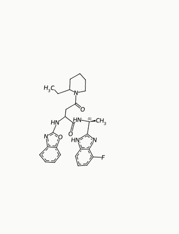 CCC1CCCCN1C(=O)CC(Nc1nc2ccccc2o1)C(=O)N[C@@H](C)c1nc2c(F)cccc2[nH]1